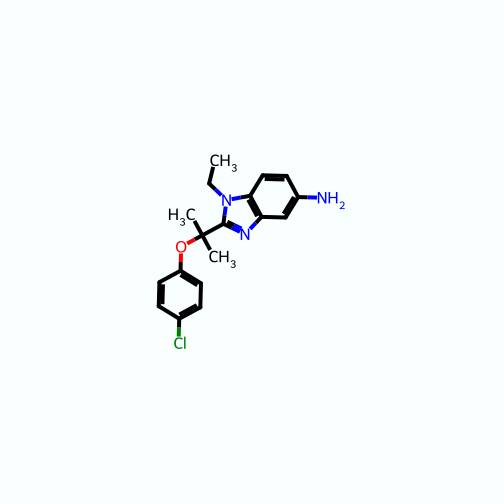 CCn1c(C(C)(C)Oc2ccc(Cl)cc2)nc2cc(N)ccc21